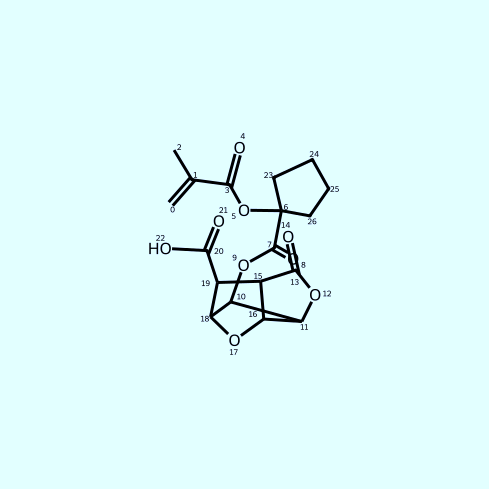 C=C(C)C(=O)OC1(C(=O)OC2C3OC(=O)C4C3OC2C4C(=O)O)CCCC1